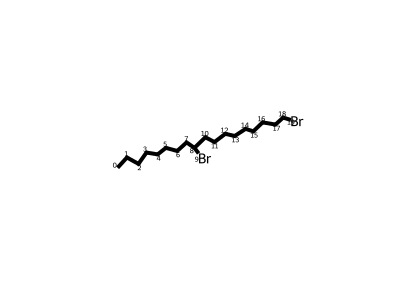 CCCCCCCCC(Br)CCCCCCCCCBr